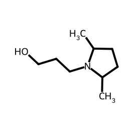 CC1CCC(C)N1CCCO